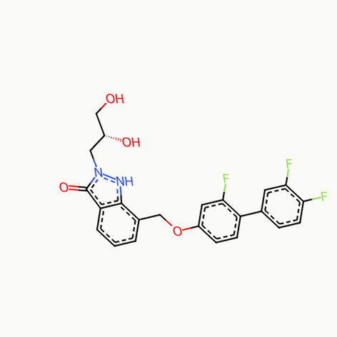 O=c1c2cccc(COc3ccc(-c4ccc(F)c(F)c4)c(F)c3)c2[nH]n1C[C@@H](O)CO